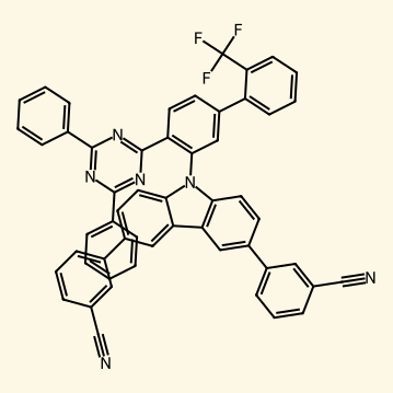 N#Cc1cccc(-c2ccc3c(c2)c2cc(-c4cccc(C#N)c4)ccc2n3-c2cc(-c3ccccc3C(F)(F)F)ccc2-c2nc(-c3ccccc3)nc(-c3ccccc3)n2)c1